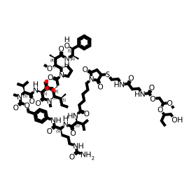 CCC(CO)OC(COC(=O)NCCC(=O)NCCSC1CC(=O)N(CCCCCC(=O)N[C@H](C(=O)N[C@@H](CCCNC(N)=O)C(=O)Nc2ccc(COC(=O)N(C)[C@H](C(=O)N[C@H](C(=O)N(C)[C@@H]([C@@H](C)CC)[C@@H](CC(=O)N3CCC[C@H]3[C@H](OC)[C@@H](C)C(=O)N[C@H](C)[C@@H](O)c3ccccc3)OC)C(C)C)C(C)C)cc2)C(C)C)C1=O)OC